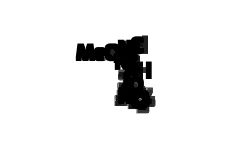 COc1nc(Cl)cc(NCC2CN(C)c3ccccc3O2)n1